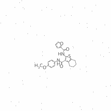 COc1ccc(NC(=O)c2c(NC(=O)c3ccco3)sc3c2CCCC3)cc1